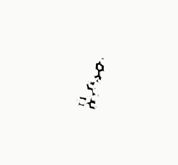 COc1ccc(-c2cnn(-c3nccc(C(=O)Nc4cnccc4N4CCNCC4)n3)c2)cc1